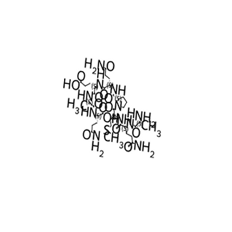 CSCC[C@H](NC(=O)[C@H](CCC(N)=O)NC(=O)[C@H](C)N)C(=O)N1CCC[C@H]1C(=O)N[C@@H](CCC(N)=O)C(=O)N[C@@H](CCC(=O)O)C(=O)N[C@@H](C)C(=O)N[C@@H](CCC(N)=O)C(=O)O